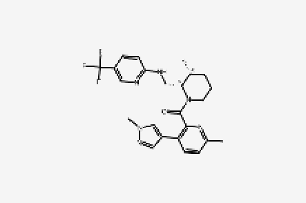 Cc1ccc(-c2cnn(C)c2)c(C(=O)N2CCC[C@@H](C)[C@H]2CNc2ccc(C(F)(F)F)cn2)n1